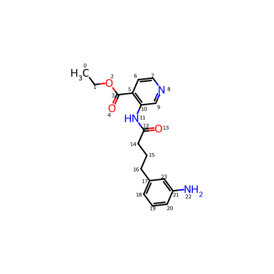 CCOC(=O)c1ccncc1NC(=O)CCCc1cccc(N)c1